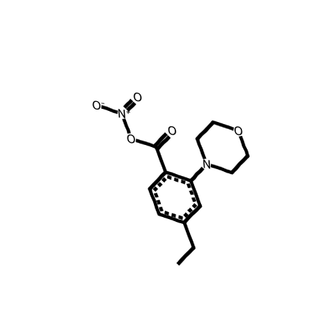 CCc1ccc(C(=O)O[N+](=O)[O-])c(N2CCOCC2)c1